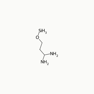 NC(N)CCO[SiH3]